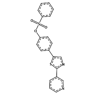 O=S(=O)(Oc1ccc(-c2cnc(-c3cccnc3)s2)cc1)c1ccccc1